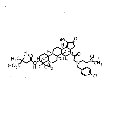 CC(C)C1=C2C(CC1=O)[C@@H](C(=O)CN(CCN(C)C)Cc1ccc(Cl)cc1)C[C@]1(C)[C@@H]2CC[C@@H]2[C@@]3(C)CC[C@H](OC(=O)CC(C)(C)C(=O)O)C(C)(C)[C@@H]3CC[C@]21C